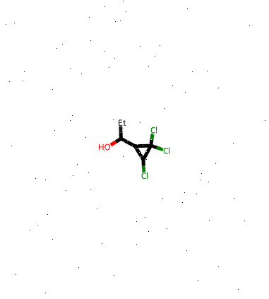 CCC(O)C1C(Cl)C1(Cl)Cl